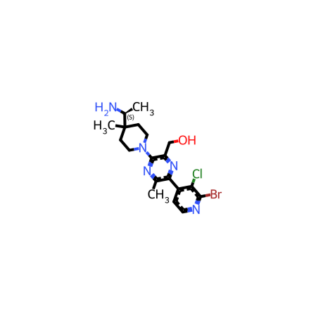 Cc1nc(N2CCC(C)([C@H](C)N)CC2)c(CO)nc1-c1ccnc(Br)c1Cl